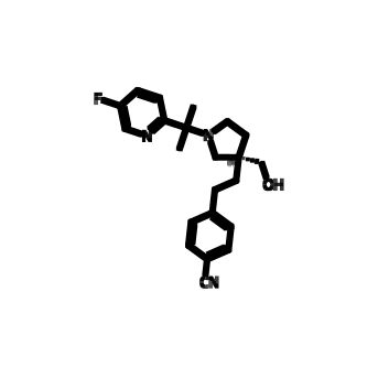 CC(C)(c1ccc(F)cn1)N1CC[C@@](CO)(CCc2ccc(C#N)cc2)C1